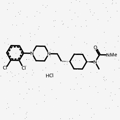 CNC(=O)N(C)[C@H]1CC[C@H](CCN2CCN(c3cccc(Cl)c3Cl)CC2)CC1.Cl